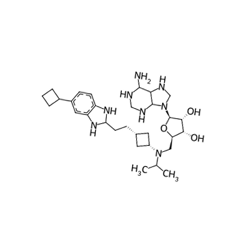 CC(C)N(C[C@H]1O[C@@H](N2CNC3C(N)NCNC32)[C@H](O)[C@@H]1O)[C@H]1C[C@@H](CCC2Nc3ccc(C4CCC4)cc3N2)C1